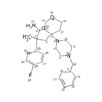 CC(CC1(N2CCN(Cc3ccccc3)CC2)CCOCC1)(C(N)=O)c1ccc(F)cn1